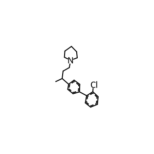 CC(CCN1CCCCC1)c1ccc(-c2ccccc2Cl)cc1